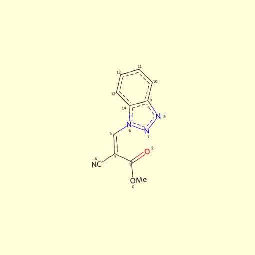 COC(=O)/C(C#N)=C\n1nnc2ccccc21